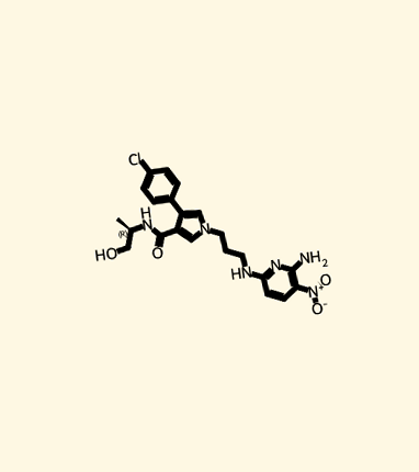 C[C@H](CO)NC(=O)c1cn(CCCNc2ccc([N+](=O)[O-])c(N)n2)cc1-c1ccc(Cl)cc1